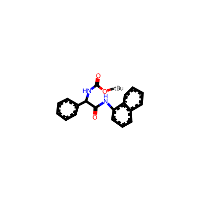 CC(C)(C)OC(=O)NC(C(=O)Nc1cccc2ccccc12)c1ccccc1